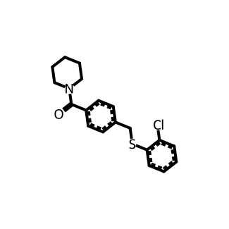 O=C(c1ccc(CSc2ccccc2Cl)cc1)N1CCCCC1